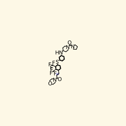 O=C(/C=C/c1ccc(Sc2cccc(NC3CCN(C(=O)N4CCCC4)CC3)c2)c(C(F)(F)F)c1C(F)(F)F)N1CCOCC1